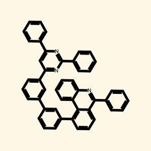 c1ccc(-c2cc(-c3cccc(-c4cccc(-c5cccc6c(-c7ccccc7)nc7ccccc7c56)c4)c3)nc(-c3ccccc3)n2)cc1